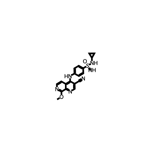 COc1nccc2c(Nc3ccc(S(=N)(=O)NC4CC4)cc3)c(C#N)cnc12